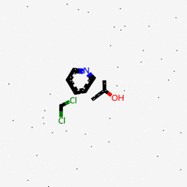 CC(C)O.ClCCl.c1ccncc1